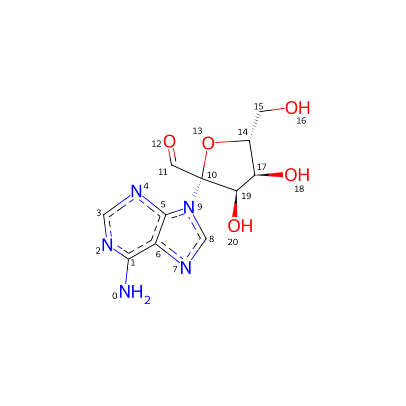 Nc1ncnc2c1ncn2[C@]1(C=O)O[C@H](CO)[C@@H](O)[C@H]1O